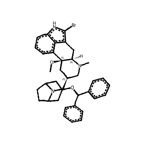 CO[C@]12C[C@H](CN3C4CCC3CC(OC(c3ccccc3)c3ccccc3)C4)CN(C)[C@@H]1Cc1c(Br)[nH]c3cccc2c13